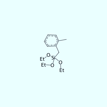 CCO[Si](Cc1ccccc1C)(OCC)OCC